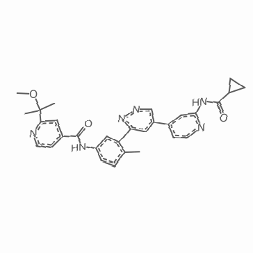 COC(C)(C)c1cc(C(=O)Nc2ccc(C)c(-c3cc(-c4ccnc(NC(=O)C5CC5)c4)cnn3)c2)ccn1